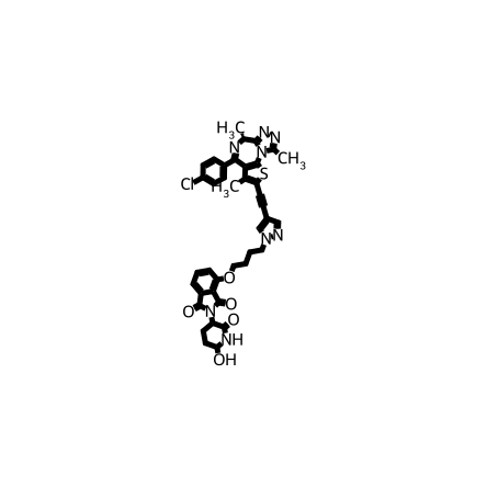 Cc1c(C#Cc2cnn(CCCCOc3cccc4c3C(=O)N(C3CCC(O)NC3=O)C4=O)c2)sc2c1C(c1ccc(Cl)cc1)=N[C@@H](C)c1nnc(C)n1-2